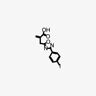 C=C(Cc1nc(-c2ccc(I)cc2)no1)C(=O)O